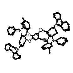 Cc1ccc2c(c1)N(c1ccccc1)c1cc(-n3c4ccccc4c4ccccc43)cc3c1B2c1cc2c(cc1O3)B1c3ccc(C)cc3N(c3ccccc3)c3cc(-n4c5ccccc5c5ccccc54)cc(c31)O2